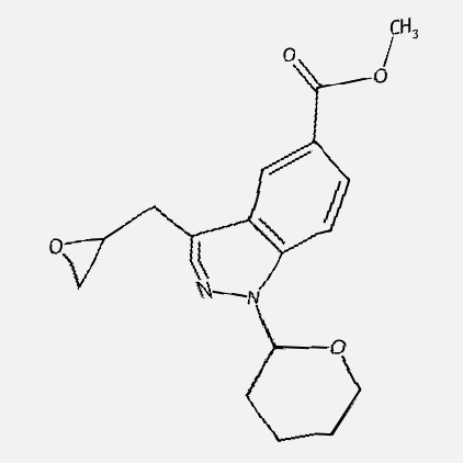 COC(=O)c1ccc2c(c1)c(CC1CO1)nn2C1CCCCO1